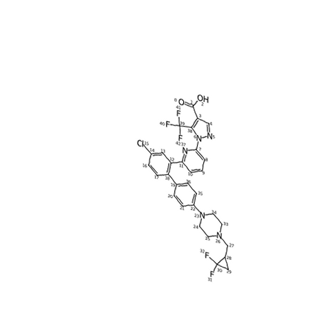 O=C(O)c1cnn(-c2cccc(-c3cc(Cl)ccc3-c3ccc(N4CCN(CC5CC5(F)F)CC4)cc3)n2)c1C(F)(F)F